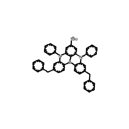 CC(C)(C)c1cc2c3c(c1)N(c1ccccc1)c1cc(Cc4ccccc4)ccc1B3c1ccc(Cc3ccccc3)cc1N2c1ccccc1